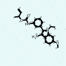 C=CC(C)OC(=O)Nc1cccc(-c2c(N)c3ccc(OC)cc3n2CC)c1